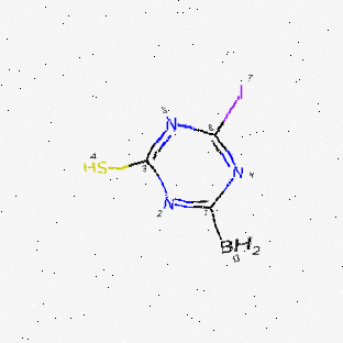 Bc1nc(S)nc(I)n1